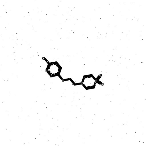 O=S1(=O)C=CN(CCOc2ccc(Cl)nn2)C=C1